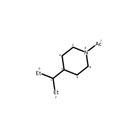 CCC(CC)C1CCN(C(C)=O)CC1